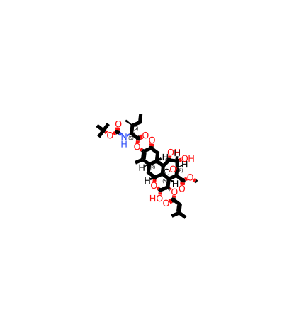 CC[C@H](C)[C@H](NC(=O)OC(C)(C)C)C(=O)OC1=C(C)[C@@H]2C[C@H]3OC(O)[C@H](OC(=O)C=C(C)C)[C@H]4C(C(=O)OC)[C@H]5OC[C@@]43C([C@@H](O)[C@@H]5O)[C@@]2(C)CC1=O